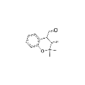 C=C1C(C=O)c2ccccc2OC1(C)C